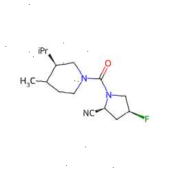 CC(C)[C@H]1CN(C(=O)N2C[C@@H](F)C[C@H]2C#N)CCC1C